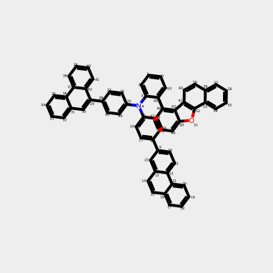 c1ccc(N(c2ccc(-c3ccc4c(ccc5ccccc54)c3)cc2)c2ccc(-c3cc4ccccc4c4ccccc34)cc2)c(-c2cccc3oc4c5ccccc5ccc4c23)c1